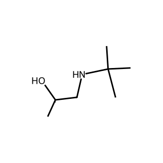 C[C](O)CNC(C)(C)C